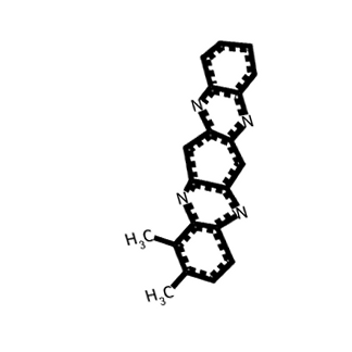 Cc1ccc2nc3cc4nc5ccccc5nc4cc3nc2c1C